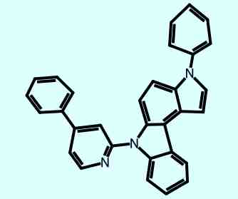 c1ccc(-c2ccnc(-n3c4ccccc4c4c5ccn(-c6ccccc6)c5ccc43)c2)cc1